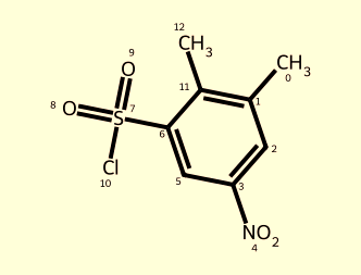 Cc1cc([N+](=O)[O-])cc(S(=O)(=O)Cl)c1C